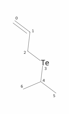 C=CC[Te]C(C)C